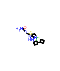 NC(=O)CNCc1nc2c(Nc3cccc(-c4ccccc4)c3Cl)nccc2s1